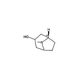 CN1C2CC[C@H]1CC(O)C2